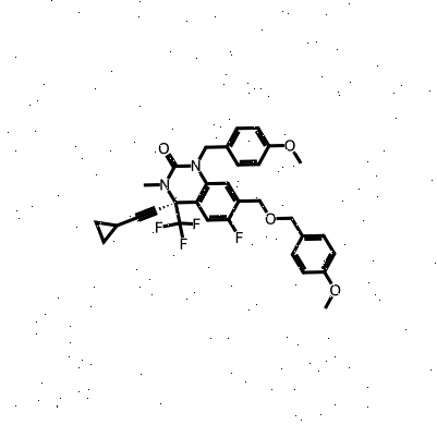 COc1ccc(COCc2cc3c(cc2F)[C@@](C#CC2CC2)(C(F)(F)F)N(C)C(=O)N3Cc2ccc(OC)cc2)cc1